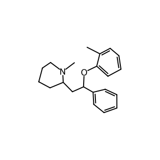 Cc1ccccc1OC(CC1CCCCN1C)c1ccccc1